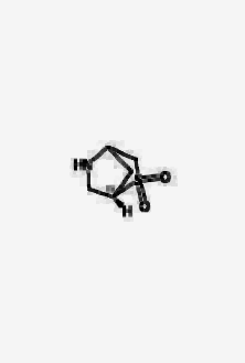 O=S1(=O)CC2C[C@H]1CN2